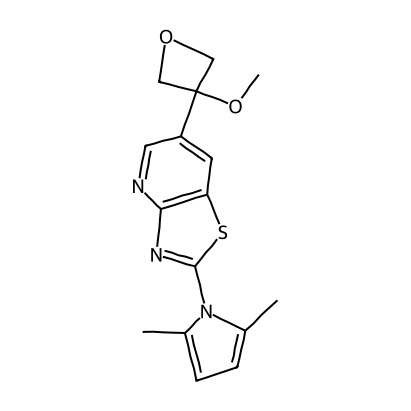 COC1(c2cnc3nc(-n4c(C)ccc4C)sc3c2)COC1